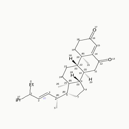 CCC(/C=C/[C@@H](C)[C@H]1CC[C@H]2[C@@H]3CC(=O)C4=CC(=O)CC[C@]4(C)[C@H]3CC[C@]12C)C(C)C